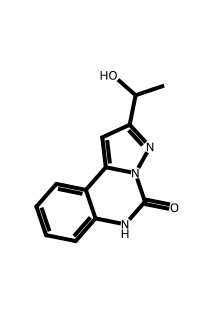 CC(O)c1cc2c3ccccc3[nH]c(=O)n2n1